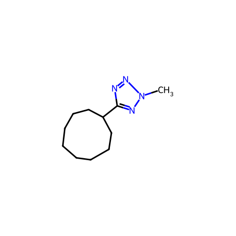 Cn1nnc(C2CCCCCCCC2)n1